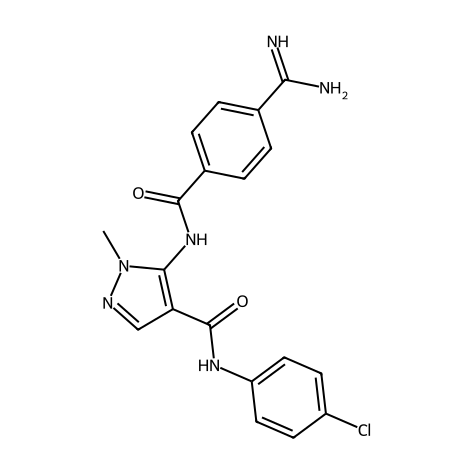 Cn1ncc(C(=O)Nc2ccc(Cl)cc2)c1NC(=O)c1ccc(C(=N)N)cc1